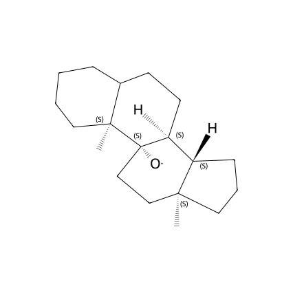 C[C@@]12CCC[C@H]1[C@@H]1CCC3CCCC[C@]3(C)[C@]1([O])CC2